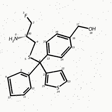 N[C@H](CF)CSC(c1ccccc1)(c1ccc(CO)cc1)c1ccsc1